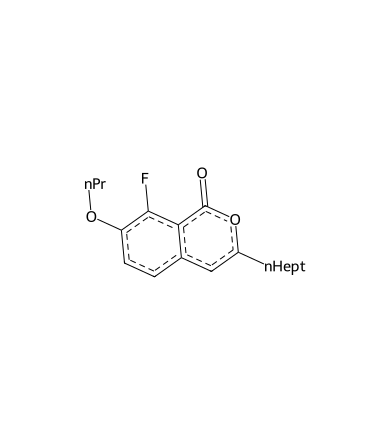 CCCCCCCc1cc2ccc(OCCC)c(F)c2c(=O)o1